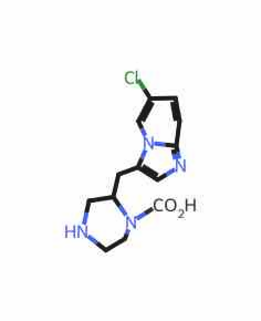 O=C(O)N1CCNCC1Cc1cnc2ccc(Cl)cn12